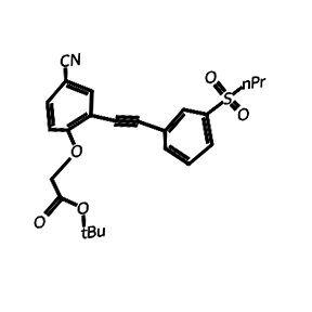 CCCS(=O)(=O)c1cccc(C#Cc2cc(C#N)ccc2OCC(=O)OC(C)(C)C)c1